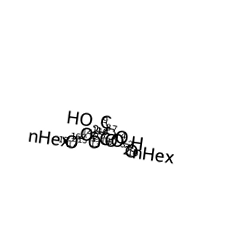 CCCCCCOCCOC(=O)C/C(C(=O)O)=C(/CC(=O)OCCOCCCCCC)C(=O)O